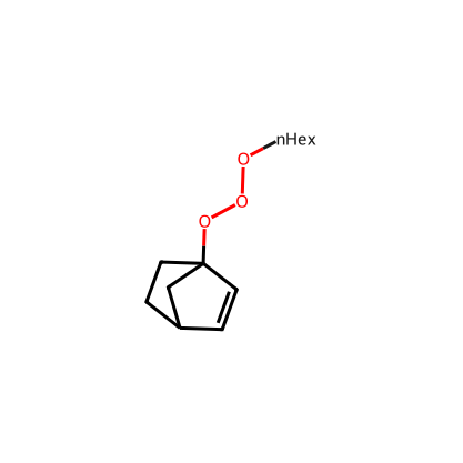 CCCCCCOOOC12C=CC(CC1)C2